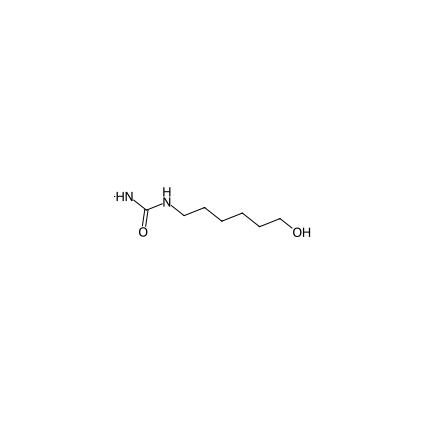 [NH]C(=O)NCCCCCCO